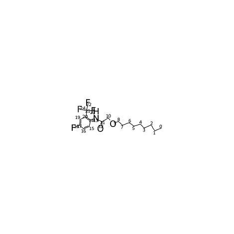 CCCCCCCCCOCC(=O)Nc1ccc(F)cc1C(F)(F)F